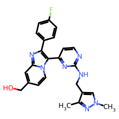 Cc1nn(C)cc1CNc1nccc(-c2c(-c3ccc(F)cc3)nc3cc(CO)ccn23)n1